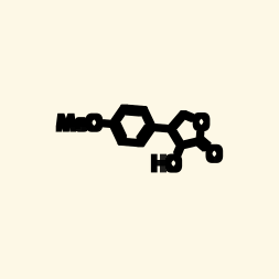 COc1ccc(C2COC(=O)C2O)cc1